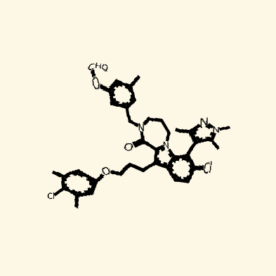 Cc1cc(CN2CCCn3c(c(CCCOc4cc(C)c(Cl)c(C)c4)c4ccc(Cl)c(-c5c(C)nn(C)c5C)c43)C2=O)cc(OC=O)c1